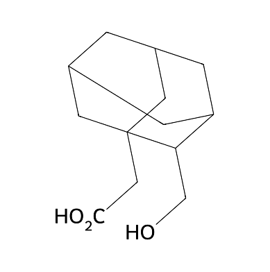 O=C(O)CC12CC3CC(CC(C3)C1CO)C2